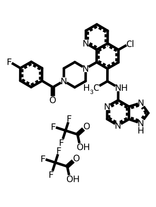 CC(Nc1ncnc2[nH]cnc12)c1cc(Cl)c2cccnc2c1N1CCN(C(=O)c2ccc(F)cc2)CC1.O=C(O)C(F)(F)F.O=C(O)C(F)(F)F